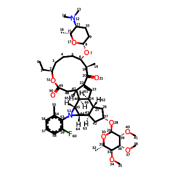 CC[C@H]1CCC[C@H](O[C@H]2CC[C@H](N(C)C)[C@@H](C)O2)[C@@H](C)C(=O)C2=C[C@H]3[C@@H]4C[C@H](O[C@@H]5O[C@@H](C)[C@H](OC)[C@@H](OC)[C@H]5OC)C[C@H]4[C@H]4[C@@H]([C@H]3[C@@H]2CC(=O)O1)N4c1c(C)cccc1F